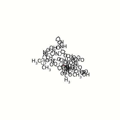 COCCN(CCOC12CC3(C)CC(C)(CC(Cn4ncc(-c5ccc(N6CCc7c(OC)ccc(C(=O)Nc8nc9ccccc9s8)c7C6)nc5C(=O)O)c4C)(C3)C1)C2)C(=O)OCc1ccc(NC(=O)[C@H](C)NC(=O)C(NC(=O)CN2C(=O)[C@@H](N3C(=O)C=CC3=O)C[C@H]2COCCS(=O)(=O)O)C(C)C)cc1CC[C@@H]1O[C@H](C(=O)O)[C@@H](O)[C@H](O)[C@H]1O